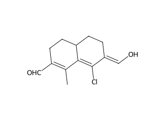 CC1=C(C=O)CCC2CC/C(=C\O)C(Cl)=C12